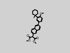 COC(=O)C(C(=O)OC)c1ccc2cc(-c3ccc(OC)c(C4(C)CCCCC4)c3)ccc2c1